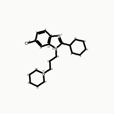 Clc1ccc2nc(C3CCCCC3)n(CCCN3CC[CH]CC3)c2c1